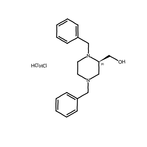 Cl.Cl.OC[C@H]1CN(Cc2ccccc2)CCN1Cc1ccccc1